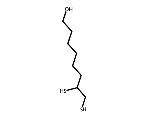 OCCCCCCC(S)CS